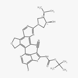 CN(C)[C@@H]1CN(c2ncc3c4c(c(-c5ncc(F)c6sc(NC(=O)OC(C)(C)C)c(C#N)c56)c(F)c3n2)COC4)C[C@@H]1O